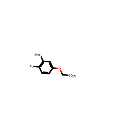 COc1cc(OCC(=O)O)ccc1C(C)=O